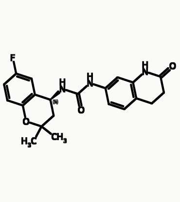 CC1(C)C[C@H](NC(=O)Nc2ccc3c(c2)NC(=O)CC3)c2cc(F)ccc2O1